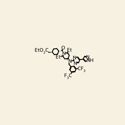 CCOC(=O)C[C@H]1CC[C@H](C(=O)N2[C@H](CC)C[C@H](N(Cc3cc(C(F)(F)F)cc(C(F)(F)F)c3)c3ncc(-c4cn[nH]c4)cn3)C[C@@H]2CC)CC1